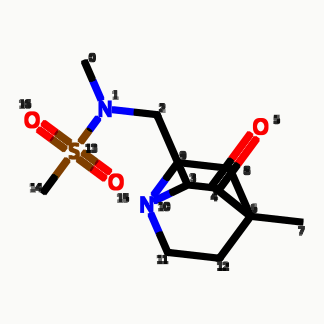 CN(CC1C(=O)C2(C)CCN1CC2)S(C)(=O)=O